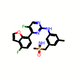 Cc1cc(CS(C)(=N)=O)cc(Nc2ncc(F)c(-c3ccc(F)c4ccoc34)n2)c1